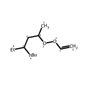 C=COOC(C)CC(CC)CCCC